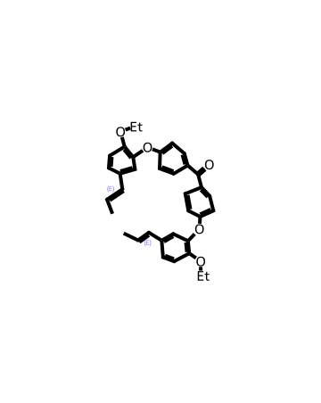 C/C=C/c1ccc(OCC)c(Oc2ccc(C(=O)c3ccc(Oc4cc(/C=C/C)ccc4OCC)cc3)cc2)c1